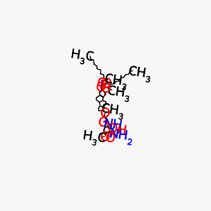 CCCCCCCCCCC(C)OP(=O)(Oc1ccc2c(c1)CCC1C2CCC2(C)C(OCCC(=O)Nc3ccc(OC)c(C(N)=O)c3O)CCC12)OC(C)CCCCCCCCCC